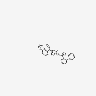 CC(CNC(=O)c1cccc2occc12)NC(=O)c1ccccc1-c1ccccc1